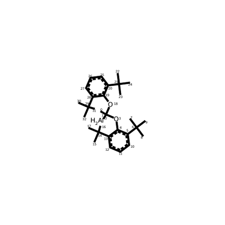 C[C]([AlH2])(Oc1c(C(C)(C)C)cccc1C(C)(C)C)Oc1c(C(C)(C)C)cccc1C(C)(C)C